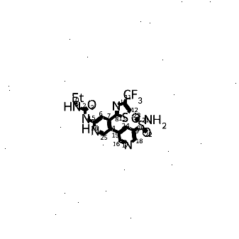 CCNC(=O)Nc1cc(-c2nc(C(F)(F)F)cs2)c(-c2cncc(S(N)(=O)=O)c2)cn1